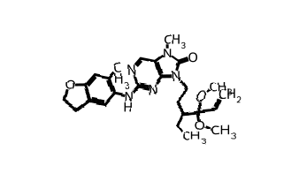 C=CC(OC)(OC)C(CC)CCn1c(=O)n(C)c2cnc(Nc3cc4c(cc3C)OCC4)nc21